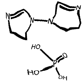 C1=NCCN1N1C=NCC1.O=P(O)(O)O